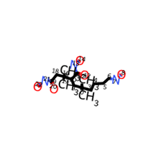 CC(C)(CCCCN=O)CC(C(=O)N=O)C(C)(C)CC(=O)N=O